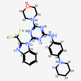 FC(F)c1nc2ccccc2n1-c1nc(Nc2ccc(N3CCCCC3)cc2)nc(N2CCOCC2)n1